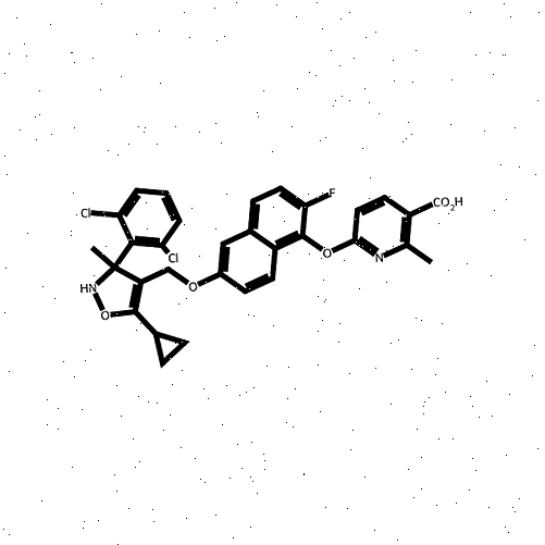 Cc1nc(Oc2c(F)ccc3cc(OCC4=C(C5CC5)ONC4(C)c4c(Cl)cccc4Cl)ccc23)ccc1C(=O)O